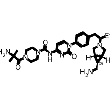 CCC(Cc1ccc(-n2ccc(NC(=O)N3CCN(C(=O)C(C)(C)N)CC3)nc2=O)cc1)N1C[C@@H]2[C@@H](CN)[C@@H]2C1